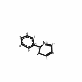 C1=CCC(c2ccccc2)N=C1